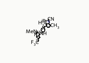 CNc1nc(NC2CCN(Cc3ccc(C)c(/C=C(/C#N)C(C)C)c3C)CC2)c2cc(CC(F)(F)F)sc2n1